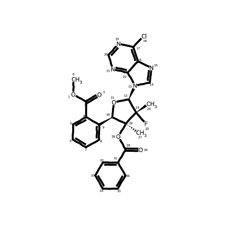 COC(=O)c1ccccc1[C@H]1O[C@@H](n2cnc3c(Cl)ncnc32)[C@](C)(F)[C@@]1(C)OC(=O)c1ccccc1